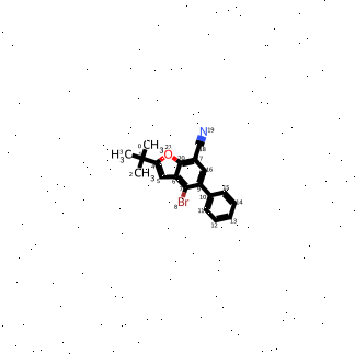 CC(C)(C)c1cc2c(Br)c(-c3ccccc3)cc(C#N)c2o1